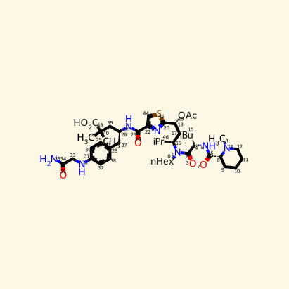 CCCCCCN(C(=O)[C@@H](NC(=O)[C@H]1CCCCN1C)[C@@H](C)CC)[C@H](C[C@@H](OC(C)=O)c1nc(C(=O)N[C@@H](Cc2ccc(NCC(N)=O)cc2)CC(C)(C)C(=O)O)cs1)C(C)C